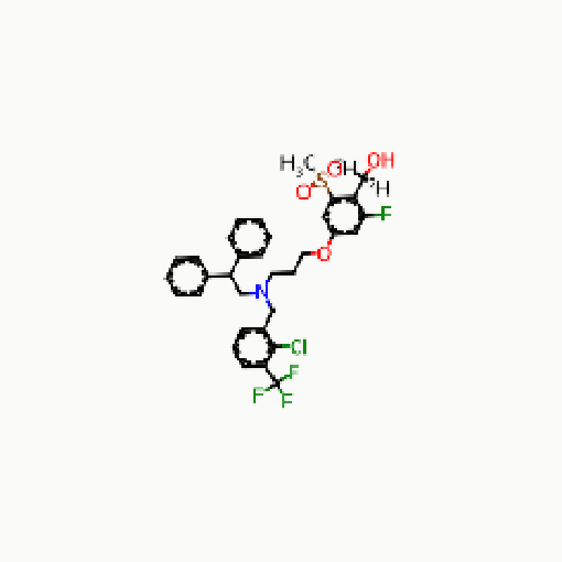 [2H]C([2H])(O)c1c(F)cc(OCCCN(Cc2cccc(C(F)(F)F)c2Cl)CC(c2ccccc2)c2ccccc2)cc1S(C)(=O)=O